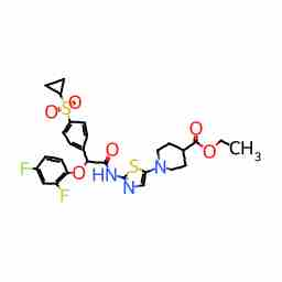 CCOC(=O)C1CCN(c2cnc(NC(=O)C(Oc3ccc(F)cc3F)c3ccc(S(=O)(=O)C4CC4)cc3)s2)CC1